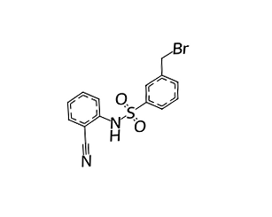 N#Cc1ccccc1NS(=O)(=O)c1cccc(CBr)c1